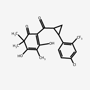 CC1=C(O)C(C)(C)C(=O)C(C(=O)C2CC2c2ccc(Cl)cc2C(F)(F)F)=C1O